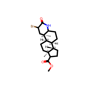 COC(=O)C1CC[C@H]2[C@@H]3CCC4NC(=O)C(Br)C[C@]4(C)[C@@H]3CC[C@]12C